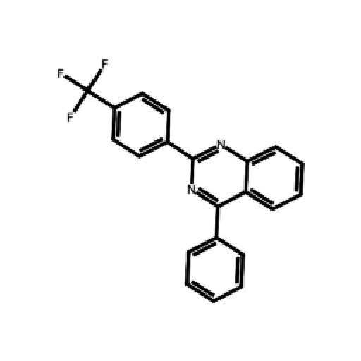 FC(F)(F)c1ccc(-c2nc(-c3ccccc3)c3ccccc3n2)cc1